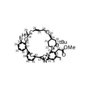 COC(=O)[C@@H](OC(C)(C)C)c1c(C)cc2nc3cn2c1N1CCC(C)(CC1)OC/C=C/C[C@H](C)Oc1c(F)cccc1-c1cccc-3c1